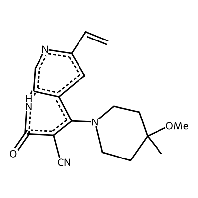 C=Cc1cc2c(N3CCC(C)(OC)CC3)c(C#N)c(=O)[nH]c2cn1